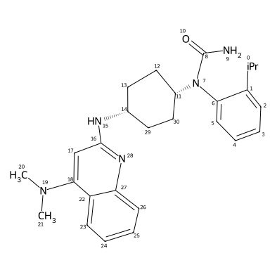 CC(C)c1ccccc1N(C(N)=O)[C@H]1CC[C@@H](Nc2cc(N(C)C)c3ccccc3n2)CC1